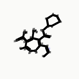 C=C(OC1CCCCC1)C1=C(/C=C\C)ON=C(C)C(C(=O)O)=C1N